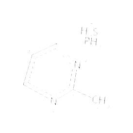 Cc1ncccn1.P.S